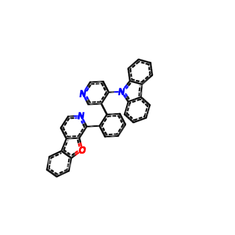 c1ccc(-c2nccc3c2oc2ccccc23)c(-c2cnccc2-n2c3ccccc3c3ccccc32)c1